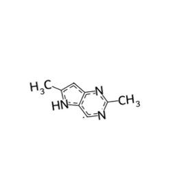 Cc1n[c]c2[nH]c(C)cc2n1